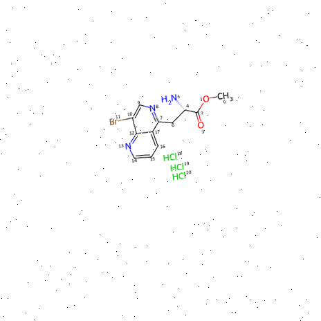 COC(=O)[C@@H](N)Cc1ncc(Br)c2ncccc12.Cl.Cl.Cl